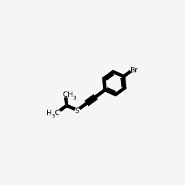 CC(C)SC#Cc1ccc(Br)cc1